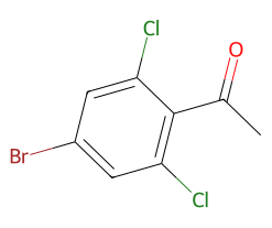 CC(=O)c1c(Cl)cc(Br)cc1Cl